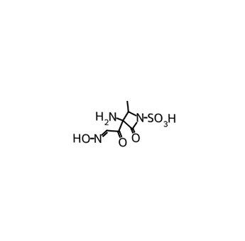 CC1N(S(=O)(=O)O)C(=O)C1(N)C(=O)C=NO